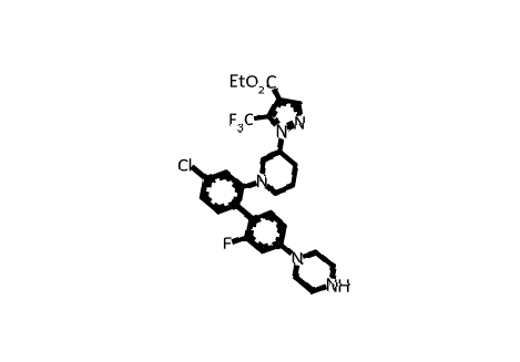 CCOC(=O)c1cnn(C2CCCN(c3cc(Cl)ccc3-c3ccc(N4CCNCC4)cc3F)C2)c1C(F)(F)F